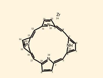 C1=Cc2cc3ccc(cc4nc(cc5ccc(cc1n2)[nH]5)C=C4)[nH]3.[Zr]